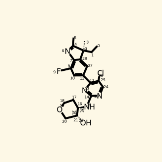 CC[C@]1(C)C(C)=Nc2c(F)cc(-c3nc(N[C@@H]4CCOC[C@H]4O)ncc3Cl)cc21